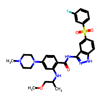 COCC(C)Nc1cc(N2CCN(C)CC2)ccc1C(=O)Nc1n[nH]c2ccc(S(=O)(=O)c3cccc(F)c3)cc12